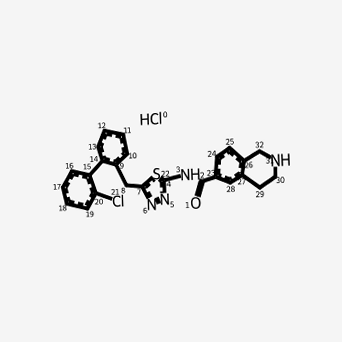 Cl.O=C(Nc1nnc(Cc2ccccc2-c2ccccc2Cl)s1)c1ccc2c(c1)CCNC2